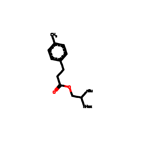 CCCCCCC(CCCC)COC(=O)CCc1ccc(C)cc1